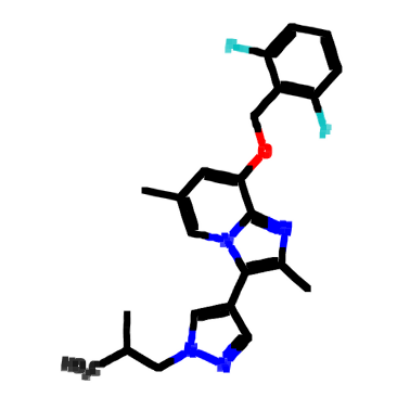 Cc1cc(OCc2c(F)cccc2F)c2nc(C)c(-c3cnn(CC(C)C(=O)O)c3)n2c1